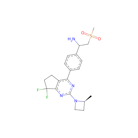 C[C@H]1CCN1c1nc(-c2ccc(C(N)CS(C)(=O)=O)cc2)c2c(n1)C(F)(F)CC2